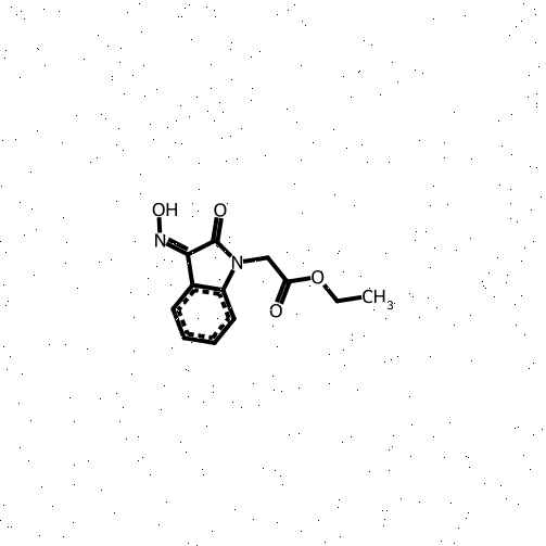 CCOC(=O)CN1C(=O)C(=NO)c2ccccc21